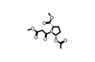 COC(=O)CC(=O)N1[C@H](OC(C)=O)CC[C@H]1C(=O)OC